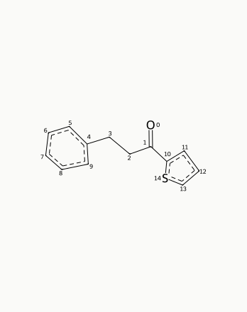 O=C(CCc1ccccc1)c1cccs1